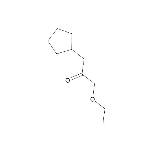 CCOCC(=O)CC1CCCC1